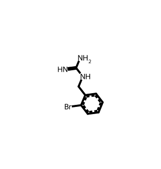 N=C(N)NCc1ccccc1Br